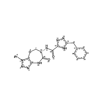 CC(C)n1nnc2c1OC[C@H](NC(=O)c1nnc(Cc3ccccc3)[nH]1)C(=O)N2